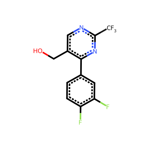 OCc1cnc(C(F)(F)F)nc1-c1ccc(F)c(F)c1